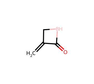 C=C1CBC1=O